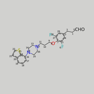 O=CCCc1cc(F)c(OCCCN2CCN(c3cccc4ccsc34)CC2)c(F)c1